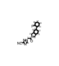 N#Cc1ncn(CC(=O)N2Cc3ccc(-c4ccccc4F)cc3C2)n1